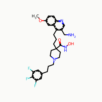 COc1ccc2ncc(CN)c(CCCC3(C(=O)NO)CCN(CCCc4cc(F)c(F)c(F)c4)CC3)c2c1